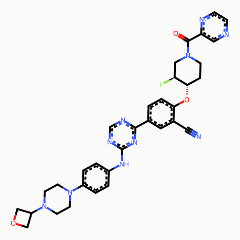 N#Cc1cc(-c2ncnc(Nc3ccc(N4CCN(C5COC5)CC4)cc3)n2)ccc1O[C@H]1CCN(C(=O)c2cnccn2)C[C@@H]1F